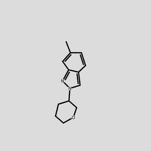 Cc1ccc2cn(C3CCCOC3)nc2c1